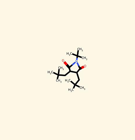 CC(C)(C)CC1C(=O)N(C(C)(C)C)C(=O)C1CC(C)(C)C